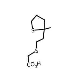 CC1(CCSCC(=O)O)CCCS1